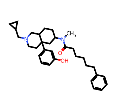 CN(C(=O)CCCCCc1ccccc1)C1CCC2CN(CC3CC3)CCC2(c2cccc(O)c2)C1